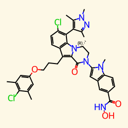 Cc1cc(OCCCc2c3n(c4c(-c5c(C)nn(C)c5C)c(Cl)ccc24)[C@H](C)CN(c2cc4cc(C(=O)NO)ccc4n2C)C3=O)cc(C)c1Cl